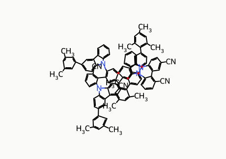 Cc1cc(C)cc(-c2ccc3c(c2)c2ccccc2n3-c2ccc(C#N)cc2-c2c(C#N)cccc2-n2c3ccc(-c4cc(C)cc(C)c4)cc3c3ccc(-c4ccc5c6cc(-c7c(C)cc(C)cc7C)ccc6n(-c6cccc(C#N)c6-c6cc(C#N)ccc6-n6c7ccccc7c7cc(-c8c(C)cc(C)cc8C)ccc76)c5c4)cc32)c1